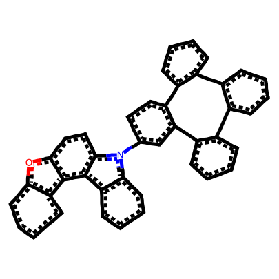 c1ccc2c(c1)-c1ccccc1-c1ccc(-n3c4ccccc4c4c5c(ccc43)oc3ccccc35)cc1-c1ccccc1-2